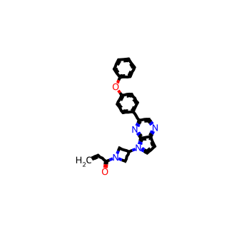 C=CC(=O)N1CC(n2ccc3ncc(-c4ccc(Oc5ccccc5)cc4)nc32)C1